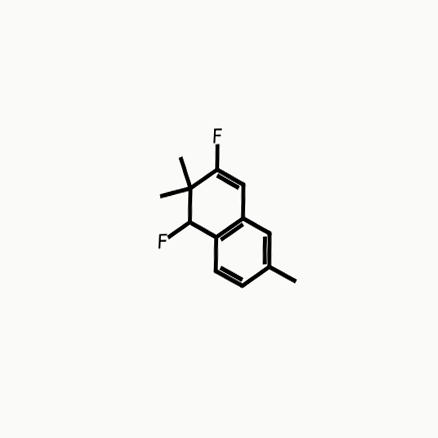 Cc1ccc2c(c1)C=C(F)C(C)(C)C2F